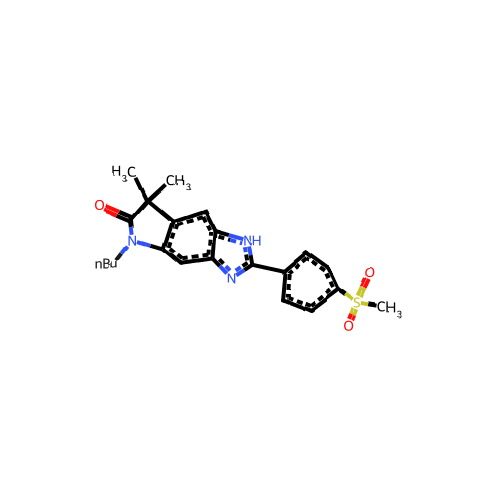 CCCCN1C(=O)C(C)(C)c2cc3[nH]c(-c4ccc(S(C)(=O)=O)cc4)nc3cc21